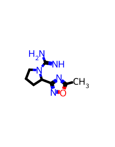 Cc1nc(C2CCCN2C(=N)N)no1